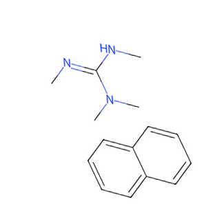 CN=C(NC)N(C)C.c1ccc2ccccc2c1